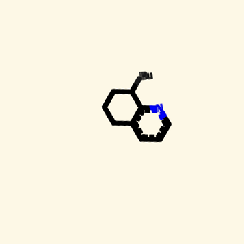 CCC(C)C1CCCc2cccnc21